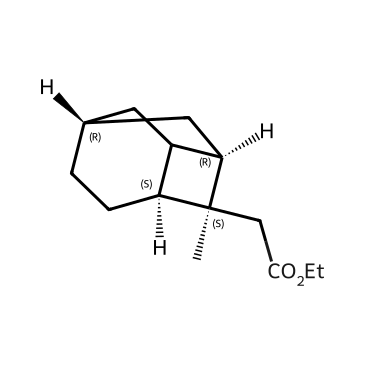 CCOC(=O)C[C@]1(C)[C@@H]2C[C@@H]3CC[C@H]1C2C3